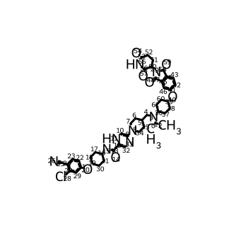 CC(C)N(CC1CCN(c2cnc(C(=O)NC3CCC(Oc4ccc(C#N)c(Cl)c4)CC3)cn2)CC1)C1CCC(Oc2ccc3c(c2)C(=O)N(C2CCC(=O)NC2=O)C3=O)CC1